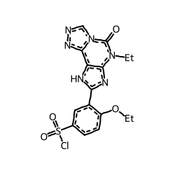 CCOc1ccc(S(=O)(=O)Cl)cc1-c1nc2c([nH]1)c1nncn1c(=O)n2CC